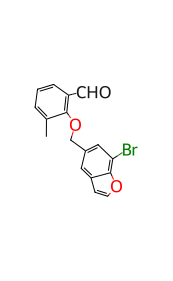 Cc1cccc(C=O)c1OCc1cc(Br)c2occc2c1